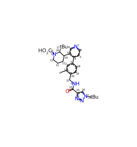 Cc1cc(-c2ccncc2C2CCCN(C(=O)O)C2C(C)(C)C)ccc1CNC(=O)c1cn(C(C)(C)C)nn1